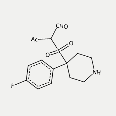 CC(=O)C(C=O)S(=O)(=O)C1(c2ccc(F)cc2)CCNCC1